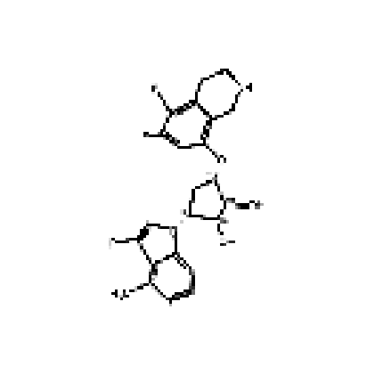 Nc1ncnc2c1c(F)cn2[C@@H]1C[C@H](Oc2cc(F)c(F)c3c2CNCC3)[C@@H](O)[C@H]1O